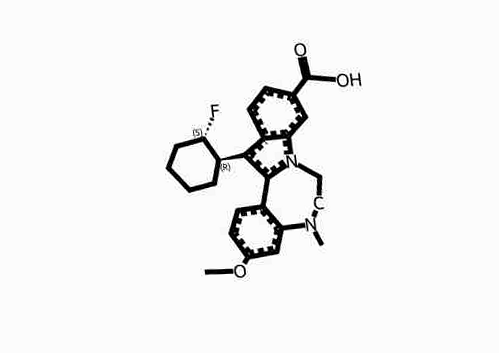 COc1ccc2c(c1)N(C)CCn1c-2c([C@H]2CCCC[C@@H]2F)c2ccc(C(=O)O)cc21